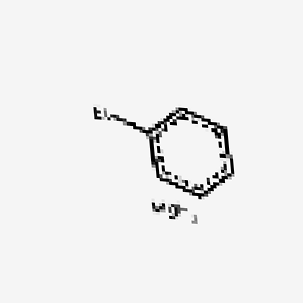 [CH2]Cc1ccccc1.[MgH2]